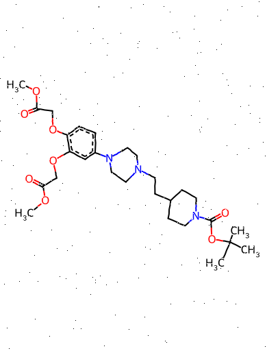 COC(=O)COc1ccc(N2CCN(CCC3CCN(C(=O)OC(C)(C)C)CC3)CC2)cc1OCC(=O)OC